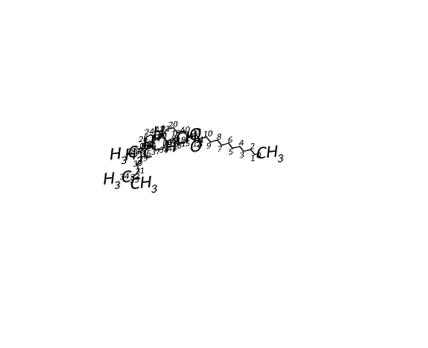 CCCCCCCCCCCC(=O)OC1CC[C@@]2(C)C(CC[C@H]3[C@@H]4CC[C@H]([C@H](C)CCCC(C)C)[C@@]4(C)CC[C@@H]32)C1